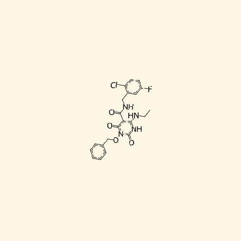 CCNc1[nH]c(=O)n(OCc2ccccc2)c(=O)c1C(=O)NCc1cc(F)ccc1Cl